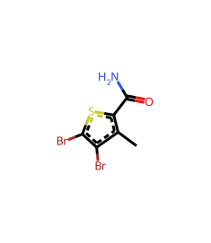 Cc1c(C(N)=O)sc(Br)c1Br